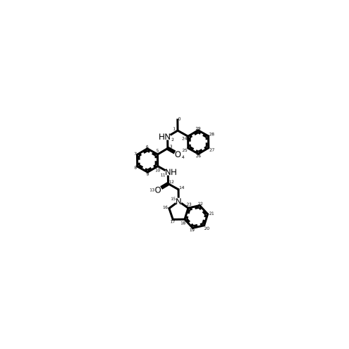 CC(NC(=O)c1ccccc1NC(=O)CN1CCc2ccccc21)c1ccccc1